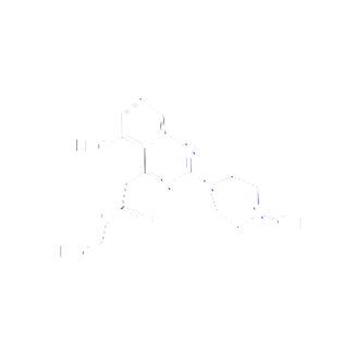 CCOC(=O)Cc1nc(N2CCN(C)CC2)nc2cccc(C)c12